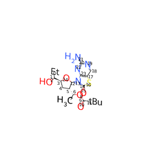 CCC(O)[C@@H]1C[C@@H](C(C)OC(=O)C(C)(C)C)[C@H](n2c(=O)sc3cnc(N)nc32)O1